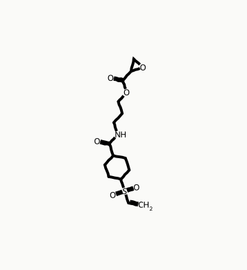 C=CS(=O)(=O)C1CCC(C(=O)NCCCOC(=O)C2CO2)CC1